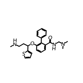 CNCCC(Oc1cccc(C(=O)NCN(C)C)c1-c1ccccc1)c1cccs1